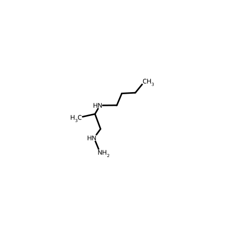 CCCCNC(C)CNN